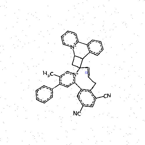 Cc1c[n+]2c(cc1-c1ccccc1)-c1cc(C#N)cc(C#N)c1C/C=C/C21CC2C1c1ccccc1-c1cccc[n+]12